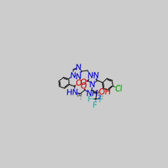 C[C@H](NC(=O)c1ccccc1-n1cnc(Cn2nc(-c3ccc(Cl)cc3)n(C[C@H](O)C(F)(F)F)c2=O)n1)C(N)=O